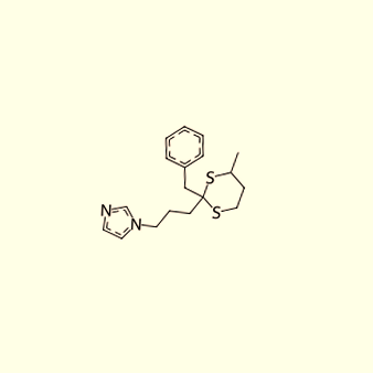 CC1CCSC(CCCn2ccnc2)(Cc2ccccc2)S1